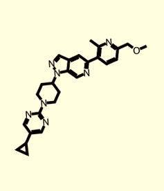 COCc1ccc(-c2cc3cnn(C4CCN(c5ncc(C6CC6)cn5)CC4)c3cn2)c(C)n1